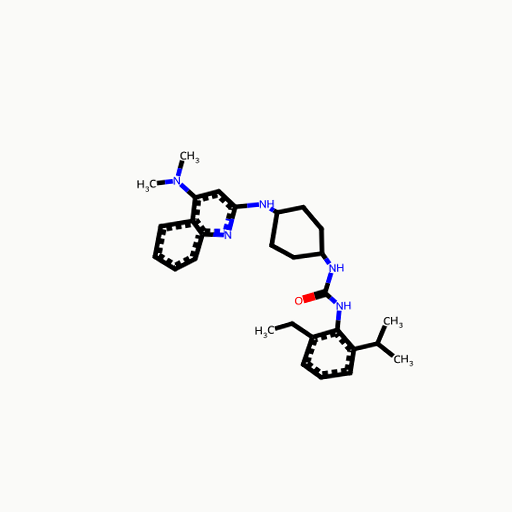 CCc1cccc(C(C)C)c1NC(=O)NC1CCC(Nc2cc(N(C)C)c3ccccc3n2)CC1